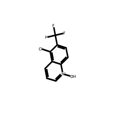 O[n+]1cccc2c(Cl)c(C(F)(F)F)ccc21